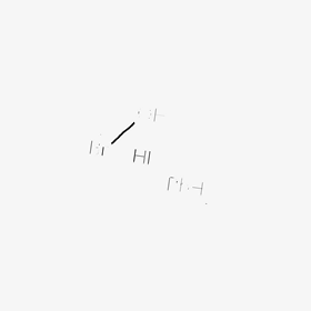 I.OBr.[PbH2]